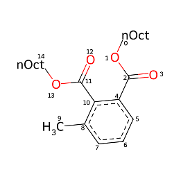 CCCCCCCCOC(=O)c1cccc(C)c1C(=O)OCCCCCCCC